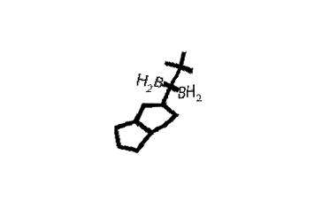 BC(B)(C1CCC2CCCC2C1)C(C)(C)C